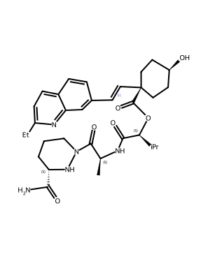 CCc1ccc2ccc(/C=C/[C@]3(C(=O)O[C@H](C(=O)N[C@@H](C)C(=O)N4CCC[C@@H](C(N)=O)N4)C(C)C)CC[C@@H](O)CC3)cc2n1